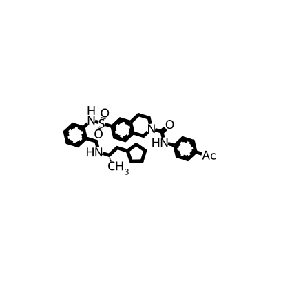 CC(=O)c1ccc(NC(=O)N2CCc3cc(S(=O)(=O)Nc4ccccc4CN[C@@H](C)CC4CCCC4)ccc3C2)cc1